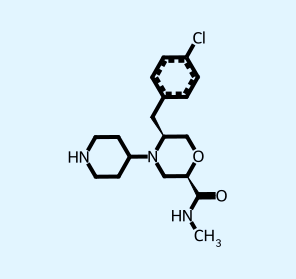 CNC(=O)[C@H]1CN(C2CCNCC2)[C@@H](Cc2ccc(Cl)cc2)CO1